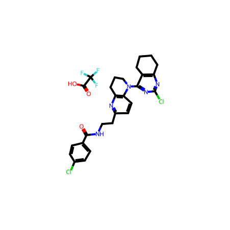 O=C(NCCc1ccc2c(n1)CCCN2c1nc(Cl)nc2c1CCCC2)c1ccc(Cl)cc1.O=C(O)C(F)(F)F